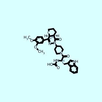 COc1ccc(C2=NN(C3CCN(C(=O)[C@H](Cc4c[nH]c5ccccc45)NC(=O)O)CC3)C(=O)[C@@H]3CCCC[C@H]23)cc1OC